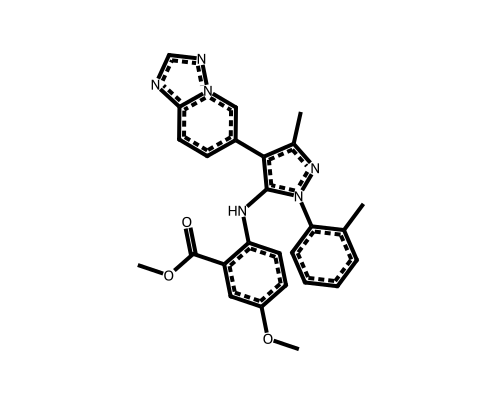 COC(=O)c1cc(OC)ccc1Nc1c(-c2ccc3ncnn3c2)c(C)nn1-c1ccccc1C